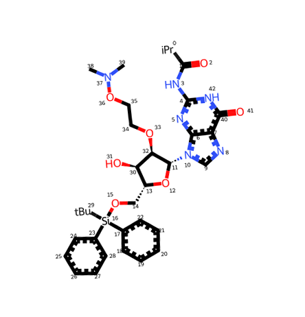 CC(C)C(=O)Nc1nc2c(ncn2[C@@H]2O[C@H](CO[Si](c3ccccc3)(c3ccccc3)C(C)(C)C)[C@@H](O)[C@H]2OCCON(C)C)c(=O)[nH]1